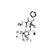 CC(C)C[C@@H](NC(=O)[C@H](Cc1ccccc1)NC(=O)OC(C)(C)C)B1OC(C)(C)C(C)(C)O1